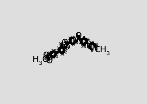 CN1CCN(c2ccc(C(=O)N3CCC(C4OCc5cc(-c6ccc(S(C)(=O)=O)cc6)ccc5O4)CC3)cc2)CC1